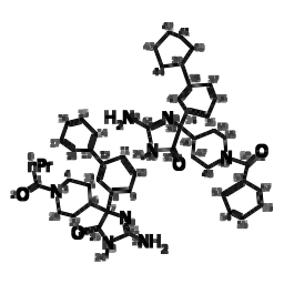 CCCC(=O)N1CCC(C2(c3cccc(-c4ccccc4)c3)N=C(N)N(C)C2=O)CC1.CN1C(=O)C(c2cccc(C3CCCCC3)c2)(C2CCN(C(=O)c3ccccc3)CC2)N=C1N